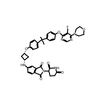 CC(C)(c1ccc(Oc2ncnc(N3CCOCC3)c2F)cc1)c1ccc(O[C@H]2C[C@@H](Nc3ccc4c(c3)C(=O)N(C3CCC(=O)NC3=O)C4=O)C2)cc1